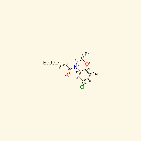 CCOC(=O)/C=C/C(=O)N1CC(C(C)C)Oc2c(C)cc(Cl)cc21